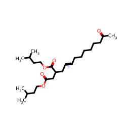 CC(=O)CCCCCC/C=C/CC(CC(=O)OCCC(C)C)C(=O)OCCC(C)C